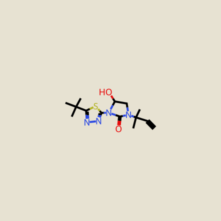 C#CC(C)(C)N1CC(O)N(c2nnc(C(C)(C)C)s2)C1=O